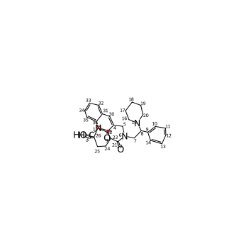 Cn1c(=O)c(CN(CC(c2ccccc2)N2CCCCC2)C(=O)C2CCC(O)CC2)cc2ccccc21